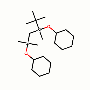 CC(C)(C)[Si](C)(C[Si](C)(C)OC1CCCCC1)OC1CCCCC1